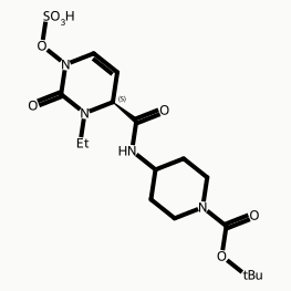 CCN1C(=O)N(OS(=O)(=O)O)C=C[C@H]1C(=O)NC1CCN(C(=O)OC(C)(C)C)CC1